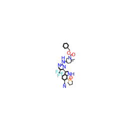 C[C@H]1CC[C@H](Nc2ncc(C(F)(F)F)c(-c3c[nH]c4c(P5(=O)CCCC5)c(C#N)ccc34)n2)CN1C(=O)OCc1ccccc1